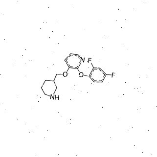 Fc1ccc(Oc2ncccc2OCC2CCCNC2)c(F)c1